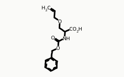 C=CCOCC(NC(=O)OCc1ccccc1)C(=O)O